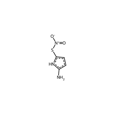 Nc1ccc(S[N+](=O)[O-])[nH]1